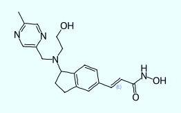 Cc1cnc(CN(CCO)C2CCc3cc(/C=C/C(=O)NO)ccc32)cn1